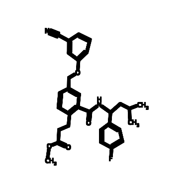 COC(=O)CCc1ccc(COc2cccc(C#N)c2)cc1C(=O)NC(CC(C)C)c1ccc(F)cc1